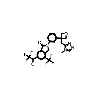 Cn1cnnc1CC1(c2cccc(N3Cc4c(cc(C(O)C(F)(F)F)cc4C(F)(F)F)C3=O)c2)COC1